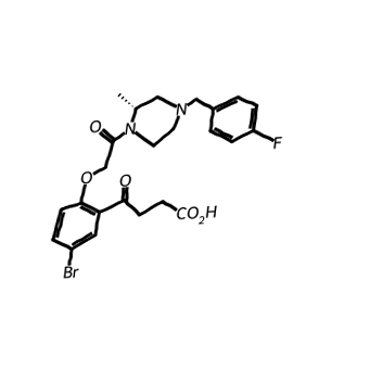 C[C@@H]1CN(Cc2ccc(F)cc2)CCN1C(=O)COc1ccc(Br)cc1C(=O)CCC(=O)O